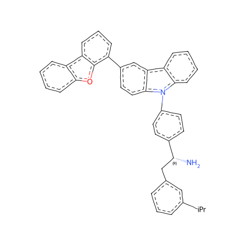 CC(C)c1cccc(C[C@@H](N)c2ccc(-n3c4ccccc4c4cc(-c5cccc6c5oc5ccccc56)ccc43)cc2)c1